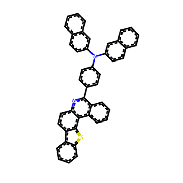 c1ccc2cc(N(c3ccc(-c4nc5ccc6c7ccccc7sc6c5c5ccccc45)cc3)c3ccc4ccccc4c3)ccc2c1